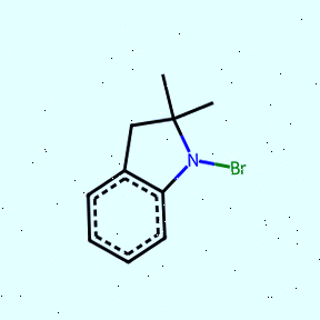 CC1(C)Cc2ccccc2N1Br